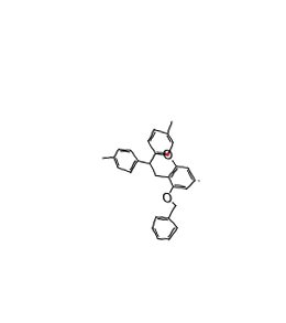 COc1c[c]cc(OCc2ccccc2)c1CC(c1ccc(C)cc1)c1ccc(C)cc1